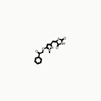 Cn1nc(C=C2SC(=O)NC2=O)cc1OCC(=O)c1ccccc1